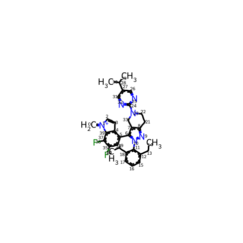 C=[N+]1C=Cc2c(-c3c4c(nn3-c3c(CC)cccc3CC)CCN(c3ncc(C(C)C)cn3)C4)cc(F)c(F)c21